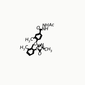 CC(=O)NNC(=O)c1ccc(OCc2c(C)cccc2-n2nnn(C)c2=O)c(C)c1